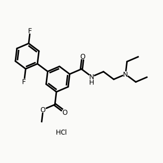 CCN(CC)CCNC(=O)c1cc(C(=O)OC)cc(-c2cc(F)ccc2F)c1.Cl